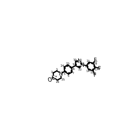 [O-][S+]1CCN(c2ccc(-c3cnn(-c4cc(F)c(F)c(F)c4)c3)cc2)CC1